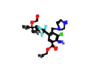 CC(C)(C)OC=O.CCOC(=O)c1cc(C(F)(F)F)c(CN2CCNCC2)c(Cl)c1N